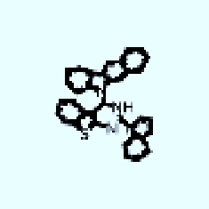 c1ccc2cc3c(cc2c1)c1ccccc1n3C1NC(c2cccc3ccccc23)Nc2sc3ccccc3c21